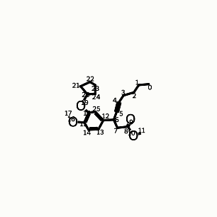 CCCCC#CC(CC(=O)OC)c1ccc(OC)c(OC2CCCC2)c1